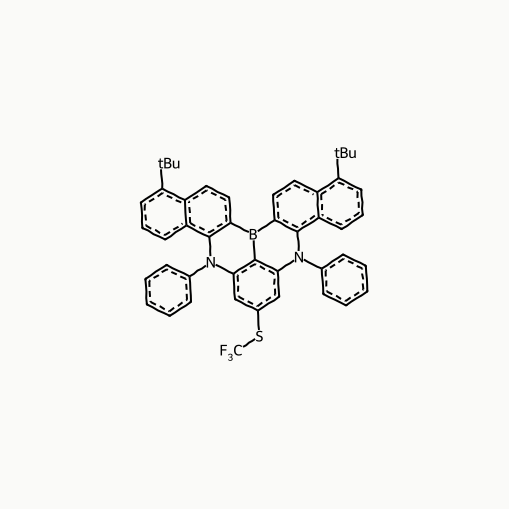 CC(C)(C)c1cccc2c3c(ccc12)B1c2ccc4c(C(C)(C)C)cccc4c2N(c2ccccc2)c2cc(SC(F)(F)F)cc(c21)N3c1ccccc1